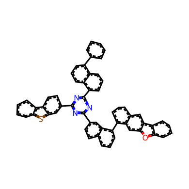 c1ccc(-c2cccc3c(-c4nc(-c5ccc6c(c5)sc5ccccc56)nc(-c5ccc6cccc(-c7cccc8cc9c(cc78)oc7ccccc79)c6c5)n4)cccc23)cc1